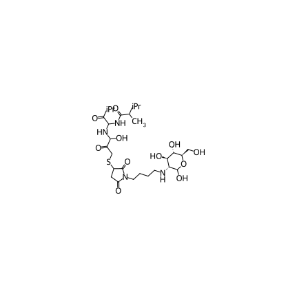 CC(C)C(=O)C(NC(=O)C(C)C(C)C)NC(O)C(=O)CSC1CC(=O)N(CCCCN[C@H]2C(O)O[C@H](CO)[C@@H](O)[C@@H]2O)C1=O